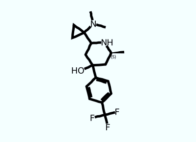 C[C@H]1CC(O)(c2ccc(C(F)(F)F)cc2)CC(C2(N(C)C)CC2)N1